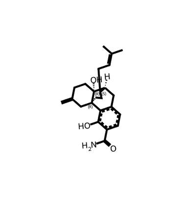 C=C1CC[C@@]2(O)[C@H]3Cc4ccc(C(N)=O)c(O)c4[C@@]2(CCC3CC=C(C)C)C1